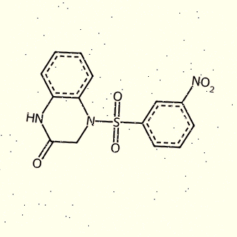 O=C1CN(S(=O)(=O)c2cccc([N+](=O)[O-])c2)c2ccccc2N1